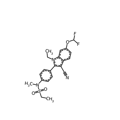 CCn1c(-c2ccc(N(C)S(=O)(=O)CC)cc2)c(C#N)c2ccc(OC(F)F)cc21